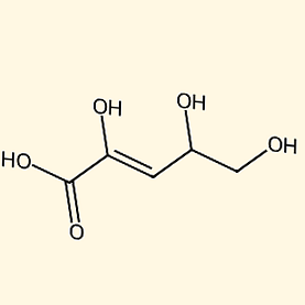 O=C(O)C(O)=CC(O)CO